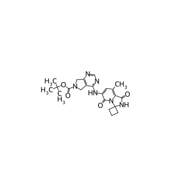 Cc1cc(Nc2ncnc3c2CN(C(=O)OC(C)(C)C)C3)c(=O)n2c1C(=O)NC21CCC1